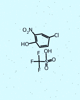 O=S(=O)(O)C(F)(F)F.O=[N+]([O-])c1cc(Cl)ccc1O